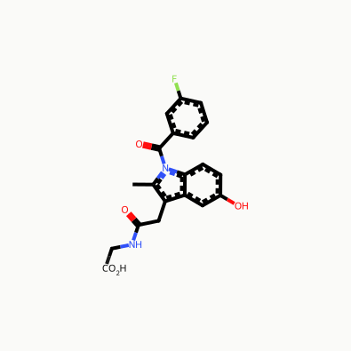 Cc1c(CC(=O)NCC(=O)O)c2cc(O)ccc2n1C(=O)c1cccc(F)c1